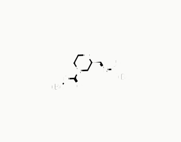 CC(C)(C)OC(=O)N1CCO[C@@H](/C=N/[S@+]([O-])C(C)(C)C)C1